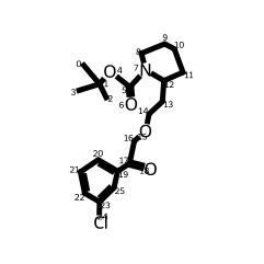 CC(C)(C)OC(=O)N1CCCCC1CCOCC(=O)c1cccc(Cl)c1